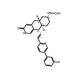 O=CN[C@@H]1CC[C@@H]2[C@H](Cc3cc(=O)[nH]cc3[C@H]2/C=C/c2ccc(-c3cccc(F)c3)cn2)C1